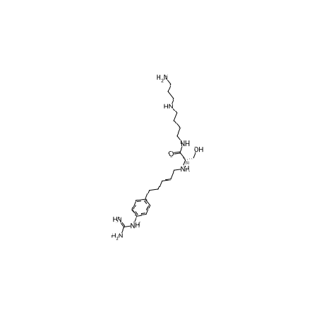 N=C(N)Nc1ccc(CCCCCN[C@@H](CO)C(=O)NCCCCNCCCN)cc1